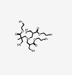 CC(C)CCOC(=O)C(CS)[CH2][Sn]([CH2]C(CS)C(=O)OCCC(C)C)[CH2]C(C)(CS)C(=O)OCCC(C)C